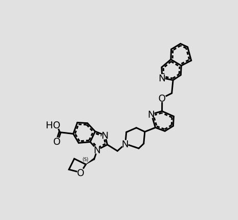 O=C(O)c1ccc2nc(CN3CCC(c4cccc(OCc5cc6ccccc6cn5)n4)CC3)n(C[C@@H]3CCO3)c2c1